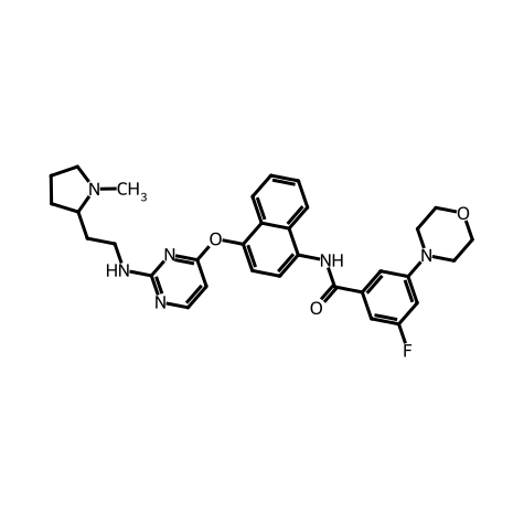 CN1CCCC1CCNc1nccc(Oc2ccc(NC(=O)c3cc(F)cc(N4CCOCC4)c3)c3ccccc23)n1